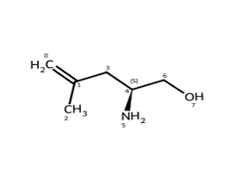 C=C(C)C[C@H](N)CO